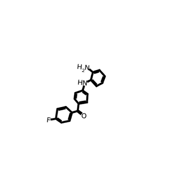 Nc1ccccc1Nc1ccc(C(=O)c2ccc(F)cc2)cc1